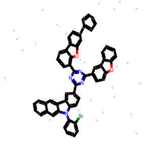 Brc1ccccc1-n1c2ccc(-c3nc(-c4ccc5oc6ccccc6c5c4)nc(-c4cccc5c4oc4cc(-c6ccccc6)ccc45)n3)cc2c2cc3ccccc3cc21